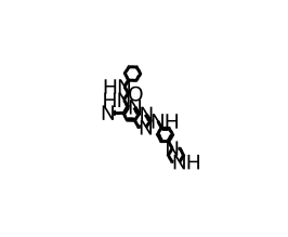 N#Cc1cc2cnc(Nc3ccc(N4CCNCC4)cc3)nc2nc1NC(=O)NC1CCCCC1